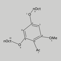 CCCCCCCCOc1cc(OC)c(C(C)=O)c(OCCCCCCCC)c1